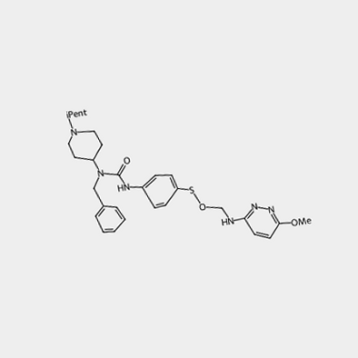 CCCC(C)N1CCC(N(Cc2ccccc2)C(=O)Nc2ccc(SOCNc3ccc(OC)nn3)cc2)CC1